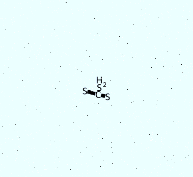 S.S=C=S